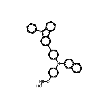 OBOc1ccc(N(c2ccc(-c3ccc4c(c3)c3ccccc3n4-c3ccccc3)cc2)c2ccc3ccccc3c2)cc1